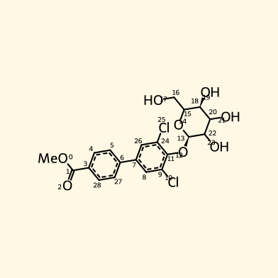 COC(=O)c1ccc(-c2cc(Cl)c(O[C@H]3OC(CO)[C@@H](O)C(O)C3O)c(Cl)c2)cc1